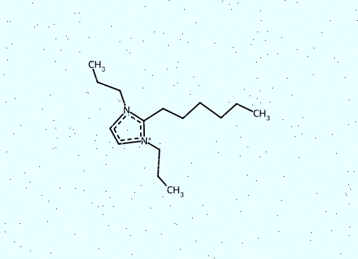 CCCCCCc1n(CCC)cc[n+]1CCC